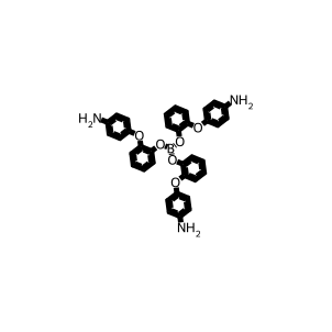 Nc1ccc(Oc2ccccc2OB(Oc2ccccc2Oc2ccc(N)cc2)Oc2ccccc2Oc2ccc(N)cc2)cc1